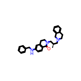 C[C@H](CN1CCc2ccccc2C1)CN1CCc2cc(NCc3ccccc3)ccc2C1=O